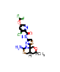 C[C@H]1C[C@H]2CSC(N)=NC2(c2nc(NC(=O)c3ncc(OC(F)F)cc3Cl)cs2)CO1